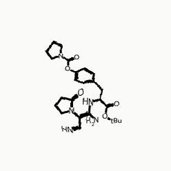 CC(C)(C)OC(=O)[C@H](Cc1ccc(OC(=O)N2CCCC2)cc1)N/C(N)=C(/C=N)N1CCCC1=O